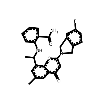 Cc1cc(C(C)Nc2ccccc2C(N)=O)c2oc(N3Cc4ccc(F)cc4C3)cc(=O)c2c1